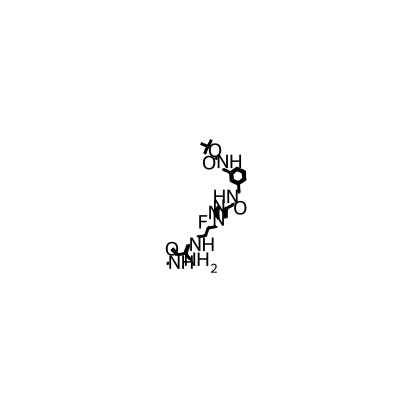 CNC(=O)/C(N)=C/NCCC(F)Cn1cc(C(=O)NCc2cccc(CNC(=O)OC(C)(C)C)c2)nn1